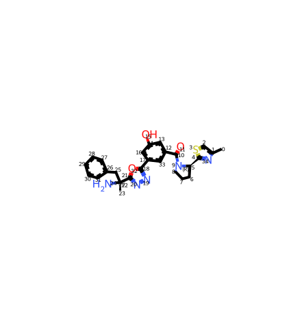 Cc1csc([C@H]2CCCN2C(=O)c2cc(O)cc(-c3nnc([C@](C)(N)Cc4ccccc4)o3)c2)n1